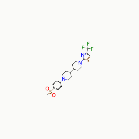 CS(=O)(=O)c1ccc(N2CCC(C3CCN(c4nc(C(F)(F)F)cs4)CC3)CC2)cc1